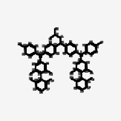 Cc1ccc(N(c2ccc(C(CC(C)C)c3ccc(N(c4ccc(C)cc4)c4cc(C)c(-c5c(C)cccc5C)c(C)c4)cc3)cc2)c2cc(C)c(-c3c(C)cccc3C)c(C)c2)cc1